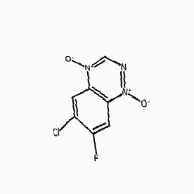 [O-][n+]1cn[n+]([O-])c2cc(F)c(Cl)cc21